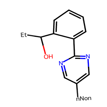 CCCCCCCCCc1cnc(-c2ccccc2C(O)CC)nc1